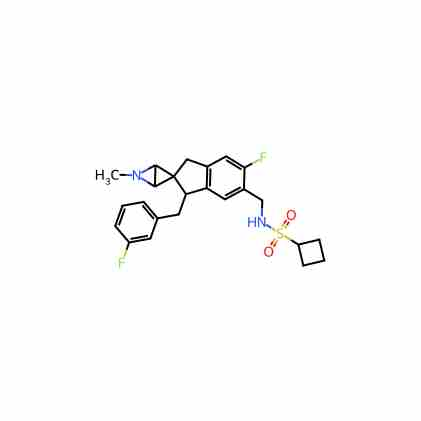 CN1C2C1C21Cc2cc(F)c(CNS(=O)(=O)C3CCC3)cc2C1Cc1cccc(F)c1